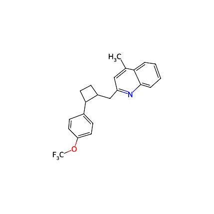 Cc1cc(CC2CCC2c2ccc(OC(F)(F)F)cc2)nc2ccccc12